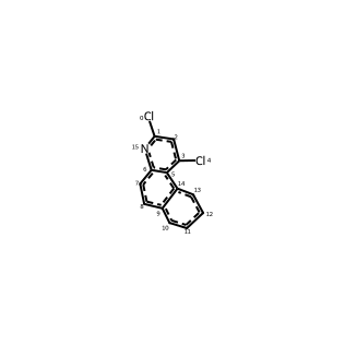 Clc1cc(Cl)c2c(ccc3ccccc32)n1